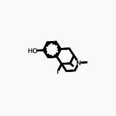 CC1C2Cc3ccc(O)cc3C1(I)CCN2C